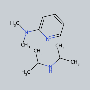 CC(C)NC(C)C.CN(C)c1ccccn1